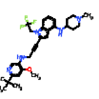 COc1cc(C(C)(C)C)ncc1NCC#Cc1cc2c(NC3CCN(C)CC3)cccc2n1CC(F)(F)F